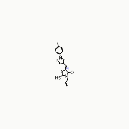 C=CCN1C(=O)/C(=C/c2cnn(-c3ccc(C)cc3)c2)SC1S